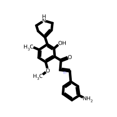 COc1cc(C)c(C2=CCNCC2)c(O)c1C(=O)/C=C/c1cccc(N)c1